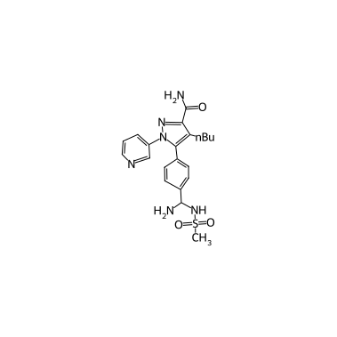 CCCCc1c(C(N)=O)nn(-c2cccnc2)c1-c1ccc(C(N)NS(C)(=O)=O)cc1